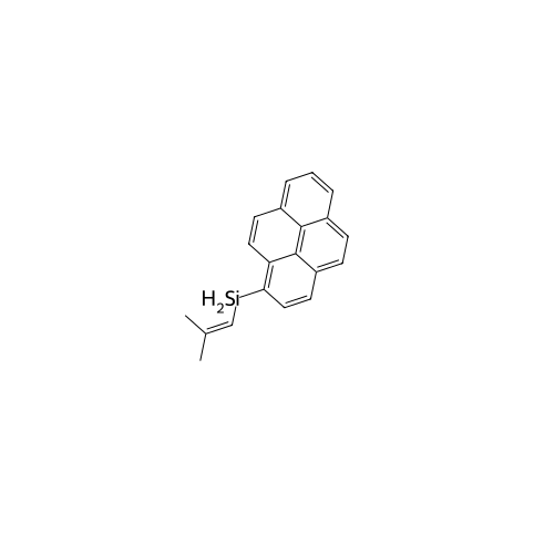 CC(C)=C[SiH2]c1ccc2ccc3cccc4ccc1c2c34